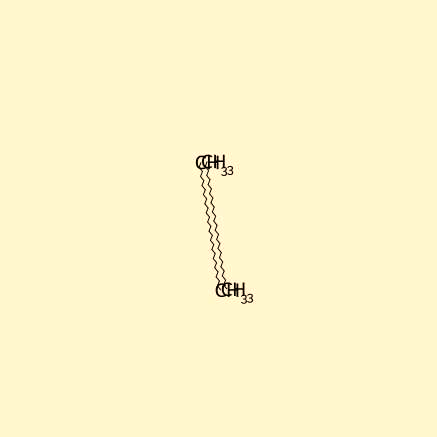 CCCCCCCCCCCCCCCCCCCCCCCCCCCCC.CCCCCCCCCCCCCCCCCCCCCCCCCCCCC